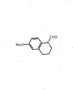 COc1ccc2c(c1)CCCN2C=O